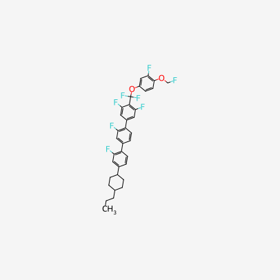 CCCC1CCC(c2ccc(-c3ccc(-c4cc(F)c(C(F)(F)Oc5ccc(OCF)c(F)c5)c(F)c4)c(F)c3)c(F)c2)CC1